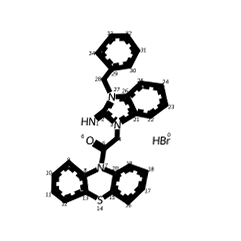 Br.N=c1n(CC(=O)N2c3ccccc3Sc3ccccc32)c2ccccc2n1Cc1ccccc1